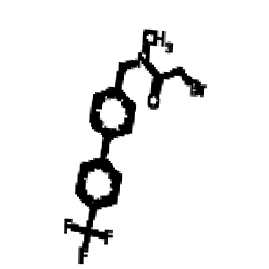 CN(Cc1ccc(-c2ccc(C(F)(F)F)cc2)cc1)C(=O)CBr